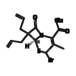 C=CCC1(CC=C)C(=O)N2C(C(=O)C(C)(C)C)=C(C)C(Br)S[C@H]21